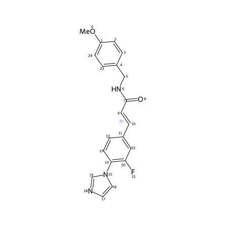 COc1ccc(CNC(=O)/C=C/c2ccc(-n3ccnc3)c(F)c2)cc1